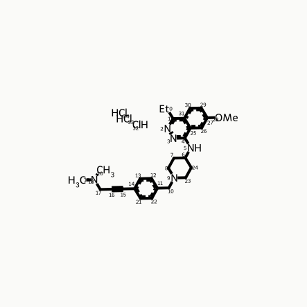 CCc1nnc(NC2CCN(Cc3ccc(C#CCN(C)C)cc3)CC2)c2cc(OC)ccc12.Cl.Cl.Cl